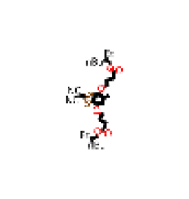 CCCCC(CC)COC(=O)CCCOc1cc(C)c(OCCCC(=O)OCC(CC)CCCC)c2c1SC(=C(C#N)C#N)S2